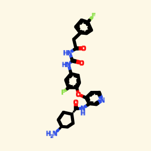 N[C@H]1CC[C@H](C(=O)Nc2cnccc2Oc2ccc(NC(=O)NC(=O)Cc3ccc(F)cc3)cc2F)CC1